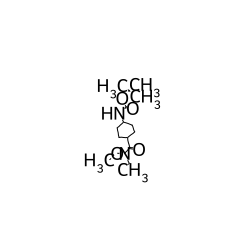 CCN(OC)C(=O)C1CCC(NC(=O)OC(C)(C)C)CC1